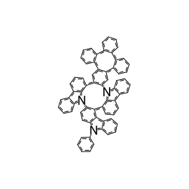 c1ccc(-n2c3ccccc3c3c4c5cccc6c7ccccc7n(c7cc8c9ccccc9c9ccccc9c9ccccc9c8cc7c7cccc8c9ccccc9n(c4ccc32)c78)c65)cc1